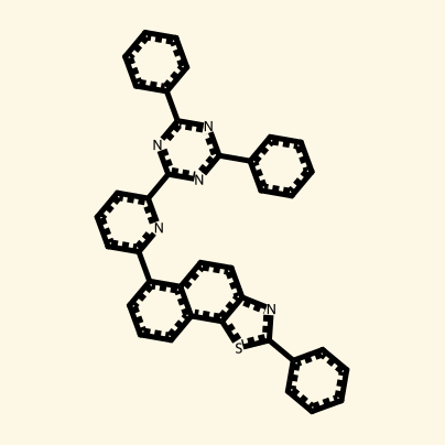 c1ccc(-c2nc(-c3ccccc3)nc(-c3cccc(-c4cccc5c4ccc4nc(-c6ccccc6)sc45)n3)n2)cc1